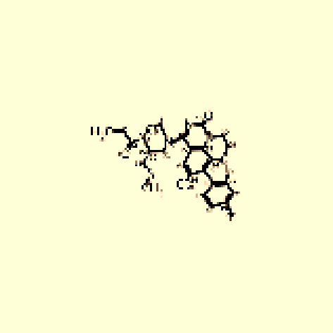 C=CC(=O)N1CCN(c2nc(=O)n3c4c(c(-c5ccc(F)cc5F)c(Cl)cc24)SCC3)C[C@H]1CSC